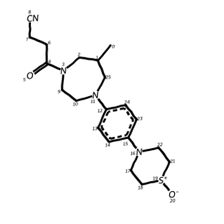 CC1CN(C(=O)CCC#N)CCN(c2ccc(N3CC[S+]([O-])CC3)cc2)C1